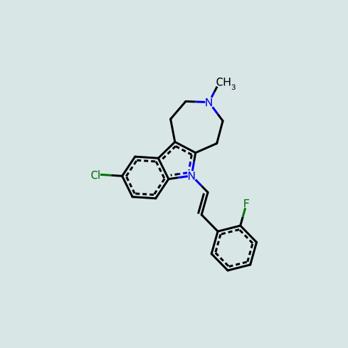 CN1CCc2c(n(C=Cc3ccccc3F)c3ccc(Cl)cc23)CC1